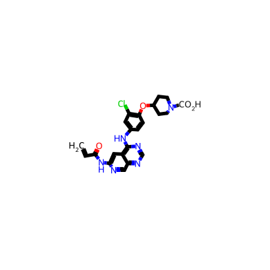 C=CC(=O)Nc1cc2c(Nc3ccc(OC4CCN(C(=O)O)CC4)c(Cl)c3)ncnc2cn1